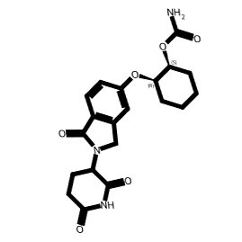 NC(=O)O[C@H]1CCCC[C@H]1Oc1ccc2c(c1)CN(C1CCC(=O)NC1=O)C2=O